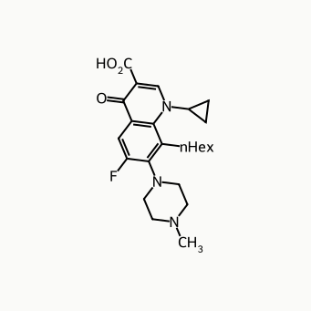 CCCCCCc1c(N2CCN(C)CC2)c(F)cc2c(=O)c(C(=O)O)cn(C3CC3)c12